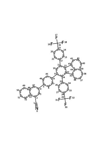 N#Cc1cc(-c2ccc(-c3cc(-c4ccc(C(F)(F)F)cc4)c4c(c3-c3ccc(C(F)(F)F)cc3)-c3cccc5cccc-4c35)cc2)cc2ccccc12